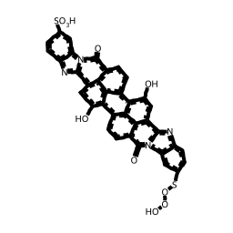 O=c1c2ccc3c4c(O)cc5c6c(ccc(c7c(O)cc(c2c37)c2nc3ccc(SOOO)cc3n12)c46)c(=O)n1c2cc(S(=O)(=O)O)ccc2nc51